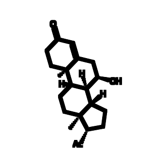 CC(=O)[C@H]1CC[C@H]2[C@@H]3[C@H](O)CC4=CC(=O)CC[C@]4(C)[C@H]3CC[C@]12C